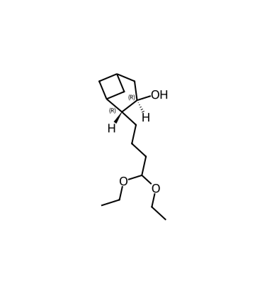 CCOC(CCC[C@@H]1C2CC(C2)C[C@H]1O)OCC